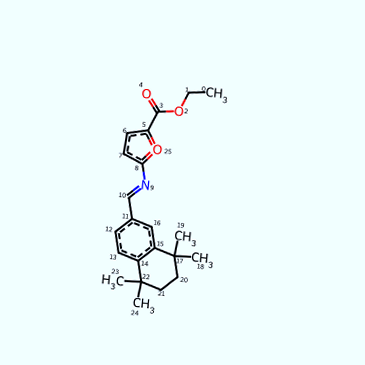 CCOC(=O)c1ccc(N=Cc2ccc3c(c2)C(C)(C)CCC3(C)C)o1